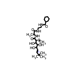 CO[C@@H](C(=O)N[C@@H](C)C(=O)NCCNC(=O)C1CCCCC1)[C@H](O)[C@@H](O)[C@H](O)/C=C/C(C)(C)C